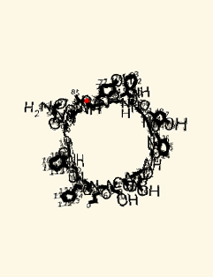 CCCC[C@H]1C(=O)N(CCO)CC(=O)N[C@@H](CC(=O)O)C(=O)N[C@@H](C)C(=O)N(C)[C@@H](Cc2ccccc2)C(=O)N[C@@H](Cc2ccc(O)cc2)C(=O)N(C)C(=O)N[C@@H](Cc2c[nH]c3ccccc23)C(=O)N[C@@H](Cc2ccc(O)cc2)C(=O)N[C@@H](CC(C)C)C(=O)N[C@H](C(=O)NCC(N)=O)CSCC(=O)N[C@@H](Cc2ccccc2)C(=O)N(C)[C@@H](CCc2ccccc2)C(=O)N1C